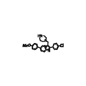 COc1ccc(-c2ccc3nc(-c4ccc(Cl)cc4)c(CN4CCCNCC4)n3c2)cc1